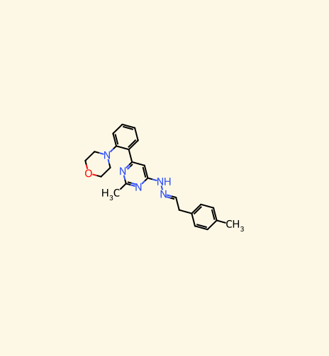 Cc1ccc(CC=NNc2cc(-c3ccccc3N3CCOCC3)nc(C)n2)cc1